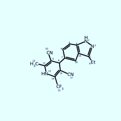 CCc1n[nH]c2ccc(C3C(C#N)=C(C)NC(C(F)(F)F)=C3C#N)cc12